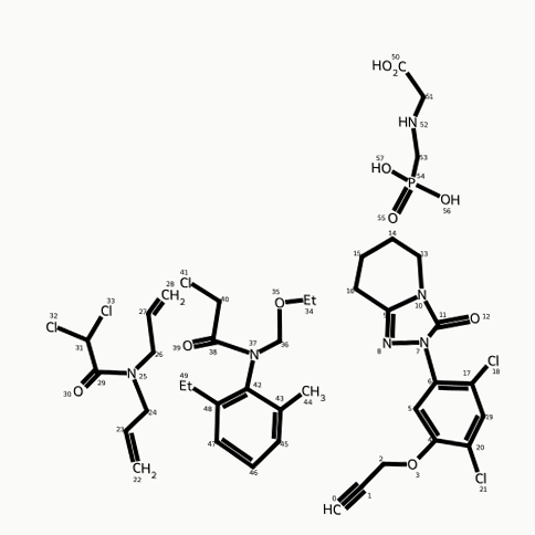 C#CCOc1cc(-n2nc3n(c2=O)CCCC3)c(Cl)cc1Cl.C=CCN(CC=C)C(=O)C(Cl)Cl.CCOCN(C(=O)CCl)c1c(C)cccc1CC.O=C(O)CNCP(=O)(O)O